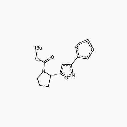 CC(C)(C)OC(=O)N1CCC[C@H]1c1cc(-c2ccccc2)no1